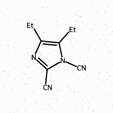 CCc1nc(C#N)n(C#N)c1CC